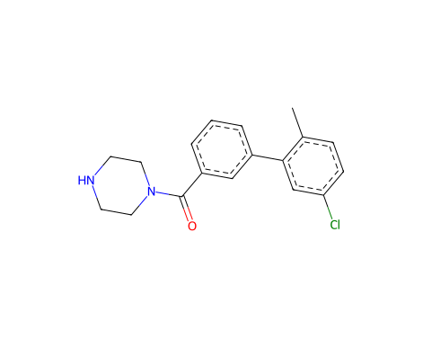 Cc1ccc(Cl)cc1-c1cccc(C(=O)N2CCNCC2)c1